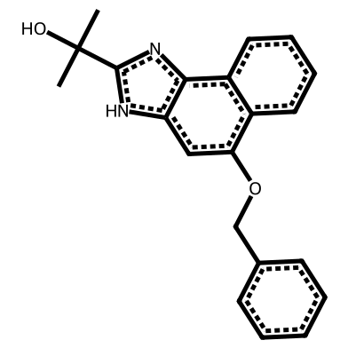 CC(C)(O)c1nc2c(cc(OCc3ccccc3)c3ccccc32)[nH]1